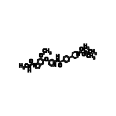 CCOc1cc2c(ccn2C(=O)NC)cc1Oc1ccnc(NC(=O)c2ccc(C3CCN(C(=O)OC(C)(C)C)CC3)cc2)c1